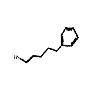 SCCCCCc1cc[c]cc1